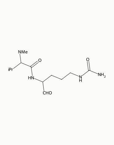 CNC(C(=O)NC(C=O)CCCNC(N)=O)C(C)C